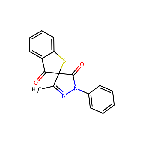 CC1=NN(c2ccccc2)C(=O)C12Sc1ccccc1C2=O